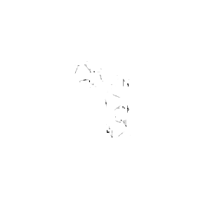 CN1Cc2c(ccc(-c3cnccn3)c2F)C(c2cc3ccccc3s2)C1